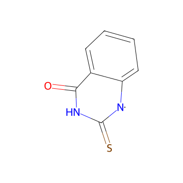 O=C1NC(=S)[N]c2ccccc21